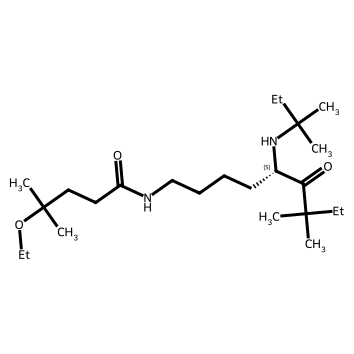 CCOC(C)(C)CCC(=O)NCCCC[C@H](NC(C)(C)CC)C(=O)C(C)(C)CC